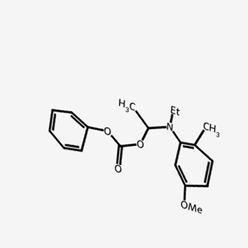 CCN(c1cc(OC)ccc1C)C(C)OC(=O)Oc1ccccc1